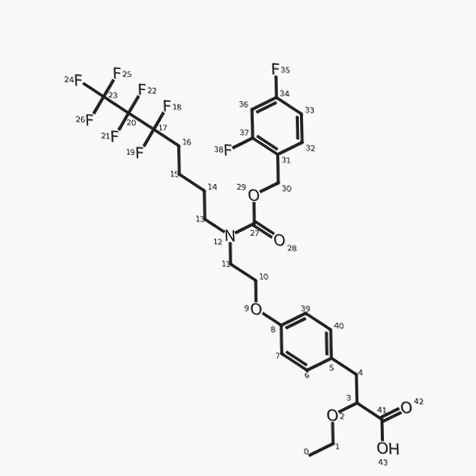 CCOC(Cc1ccc(OCCN(CCCCC(F)(F)C(F)(F)C(F)(F)F)C(=O)OCc2ccc(F)cc2F)cc1)C(=O)O